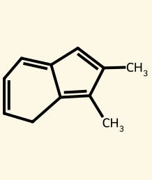 CC1=CC2=CC=CCC2=C1C